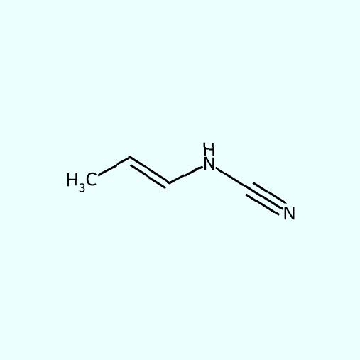 CC=CNC#N